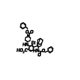 CCc1c(C2C3CC4CC(C3)CC2(NC(=O)OCc2ccccc2)C4)ccc(C(=O)O)c1NC1CCN(C(=O)OCc2ccccc2)CC1